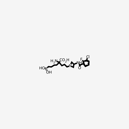 NC(CCCCB(O)O)(CCCN1CC(NC(=O)c2cccc(Cl)c2F)C1)C(=O)O